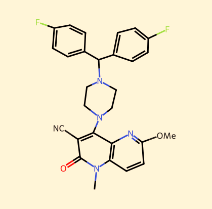 COc1ccc2c(n1)c(N1CCN(C(c3ccc(F)cc3)c3ccc(F)cc3)CC1)c(C#N)c(=O)n2C